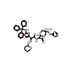 O=C(NC1C(=O)N2CC(CSc3ncns3)(C(=O)O)CS[C@H]12)C(=NOC1CCCCO1)c1csc(NC(c2ccccc2)(c2ccccc2)c2ccccc2)n1